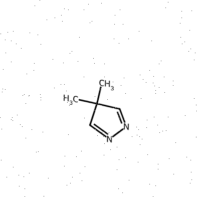 CC1(C)C=NN=C1